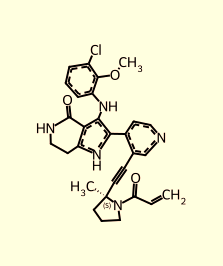 C=CC(=O)N1CCC[C@@]1(C)C#Cc1cnccc1-c1[nH]c2c(c1Nc1cccc(Cl)c1OC)C(=O)NCC2